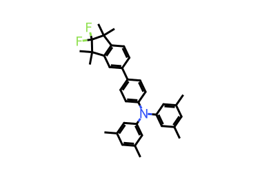 Cc1cc(C)cc(N(c2ccc(-c3ccc4c(c3)C(C)(C)C(F)(F)C4(C)C)cc2)c2cc(C)cc(C)c2)c1